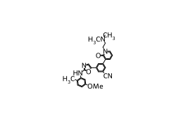 COc1ccc(C)c(Nc2ncc(-c3cc(C#N)cc(-c4cccn(CCN(C)C)c4=O)c3)o2)c1